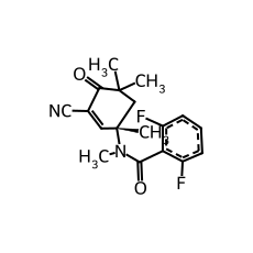 CN(C(=O)c1c(F)cccc1F)[C@]1(C)C=C(C#N)C(=O)C(C)(C)C1